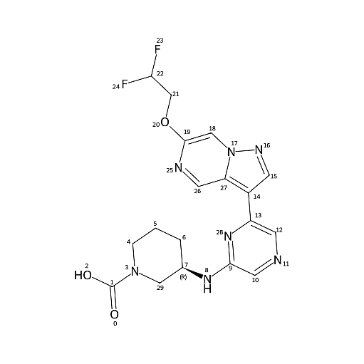 O=C(O)N1CCC[C@@H](Nc2cncc(-c3cnn4cc(OCC(F)F)ncc34)n2)C1